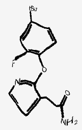 CC(C)(C)c1ccc(Oc2ncccc2C(N)=O)c(F)c1